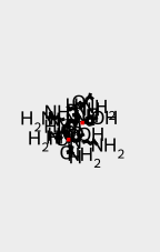 CC[C@H](C)[C@H](NC(=O)[C@@H](N)CC(C)C)C(=O)N[C@@H](Cc1ccc(O)cc1)C(=O)N[C@@H](CCCNC(=N)N)C(=O)N[C@@H](CC(N)=O)C(=O)N[C@@H](CCC(N)=O)C(=O)N[C@@H](CCCCN)C(=O)O